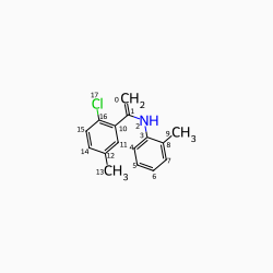 C=C(Nc1ccccc1C)c1cc(C)ccc1Cl